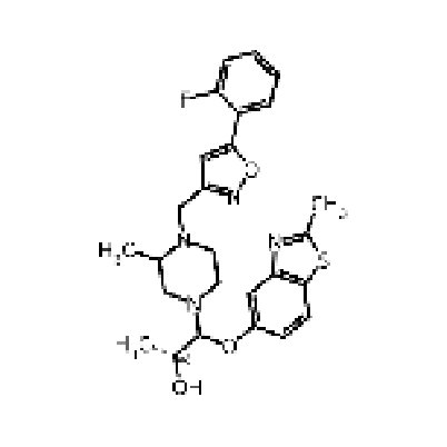 Cc1nc2cc(OC([C@@H](C)O)N3CCN(Cc4cc(-c5ccccc5F)on4)C(C)C3)ccc2s1